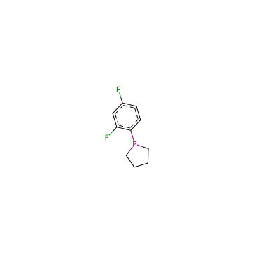 Fc1ccc(P2CCCC2)c(F)c1